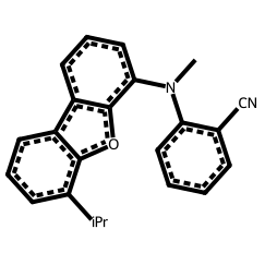 CC(C)c1cccc2c1oc1c(N(C)c3ccccc3C#N)cccc12